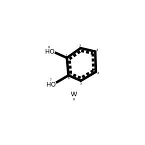 Oc1ccccc1O.[W]